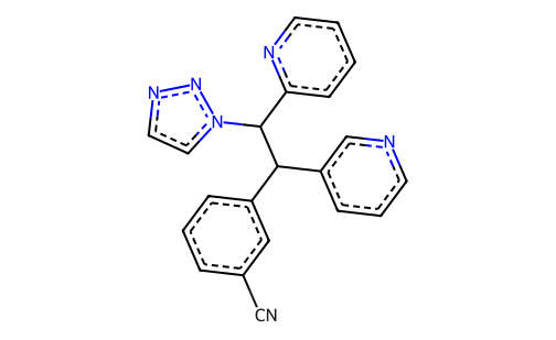 N#Cc1cccc(C(c2cccnc2)C(c2ccccn2)n2ccnn2)c1